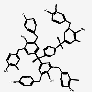 Cc1cc(Cc2cc(C(C)(C)c3ccc(C(C)(c4cc(Cc5ccc(O)cc5)c(O)c(Cc5ccc(O)c(C)c5)c4)c4cc(Cc5ccc(O)cc5)c(O)c(Cc5ccc(O)c(C)c5)c4)cc3)cc(C)c2O)ccc1O